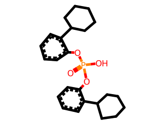 O=P(O)(Oc1ccccc1C1CCCCC1)Oc1ccccc1C1CCCCC1